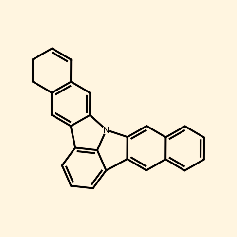 C1=Cc2cc3c(cc2CC1)c1cccc2c4cc5ccccc5cc4n3c12